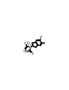 O=C(O)c1c[nH]c(=S)n1C1Cc2cc(F)c(F)cc2C1